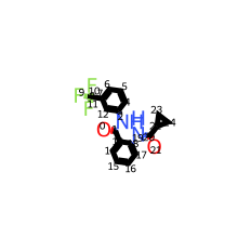 O=C(Nc1cccc(C(F)(F)F)c1)c1ccccc1NC(=O)C1CC1